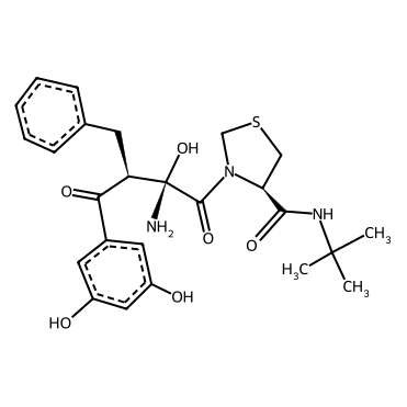 CC(C)(C)NC(=O)[C@@H]1CSCN1C(=O)[C@@](N)(O)[C@H](Cc1ccccc1)C(=O)c1cc(O)cc(O)c1